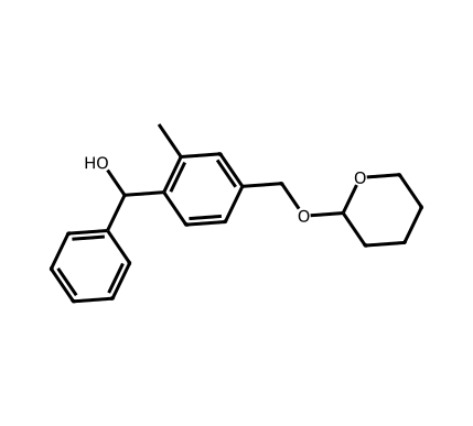 Cc1cc(COC2CCCCO2)ccc1C(O)c1ccccc1